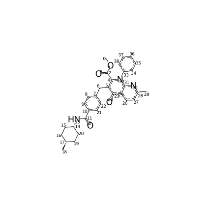 COC(=O)c1c(Cc2ccc(C(=O)N[C@H]3CC[C@H](C)CC3)cc2)c(=O)c2ccc(C)nc2n1-c1ccccc1